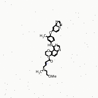 COCCN(C)C/C=C/C(=O)N1CCOc2c1ccc1ncnc(Nc3ccc(Oc4ccn5ncnc5c4)c(C)c3)c21